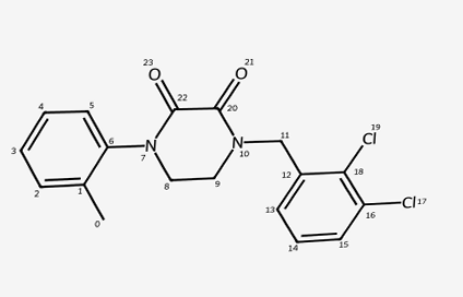 Cc1ccccc1N1CCN(Cc2cccc(Cl)c2Cl)C(=O)C1=O